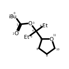 CCC(C)C(=O)OC(CC)(CC)C1CCCO1